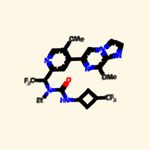 CCN(C(=O)NC1CC(C(F)(F)F)C1)C(c1cc(-c2cn3ccnc3c(OC)n2)c(OC)cn1)C(F)(F)F